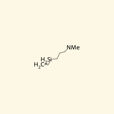 C=C[SiH2]CCCNC